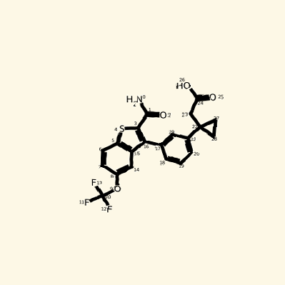 NC(=O)c1sc2ccc(OC(F)(F)F)cc2c1-c1cccc(C2(CC(=O)O)CC2)c1